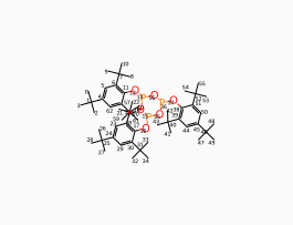 CC(C)(C)c1cc(C(C)(C)C)c(OP2OP(Oc3c(C(C)(C)C)cc(C(C)(C)C)cc3C(C)(C)C)OP(Oc3c(C(C)(C)C)cc(C(C)(C)C)cc3C(C)(C)C)O2)c(C(C)(C)C)c1